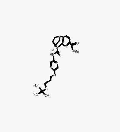 COC(=O)c1ccc2c(n1)N(C(=O)Nc1cnc(OCCCOC(C)(C)O)cn1)[C@H]1CCN2C1